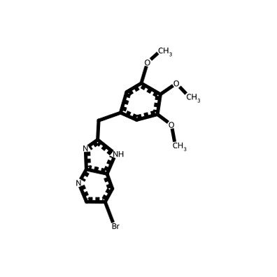 COc1cc(Cc2nc3ncc(Br)cc3[nH]2)cc(OC)c1OC